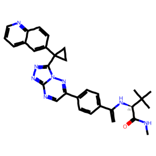 C=C(N[C@H](C(=O)NC)C(C)(C)C)c1ccc(-c2cnc3nnc(C4(c5ccc6ncccc6c5)CC4)n3n2)cc1